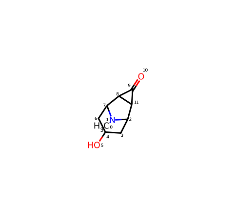 CN1C2CC(O)CC1C1C(=O)C12